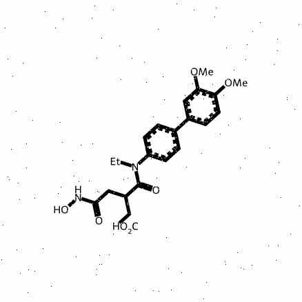 CCN(C(=O)C(CC(=O)O)CC(=O)NO)c1ccc(-c2ccc(OC)c(OC)c2)cc1